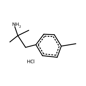 Cc1ccc(CC(C)(C)N)cc1.Cl